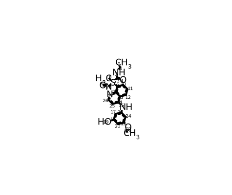 CCNC(=O)S(C)(N=O)c1cccc2c(Nc3cc(O)cc(OC)c3)ccnc12